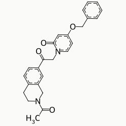 CC(=O)N1CCc2ccc(C(=O)Cn3ccc(OCc4ccccc4)cc3=O)cc2C1